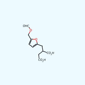 O=COCc1ccc(CC(CC(=O)O)C(=O)O)o1